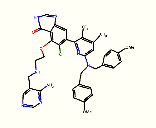 COc1ccc(CN(Cc2ccc(OC)cc2)c2cc(C)c(C(F)(F)F)c(-c3cc4nc[nH]c(=O)c4c(OCCNCc4cncnc4N)c3Cl)n2)cc1